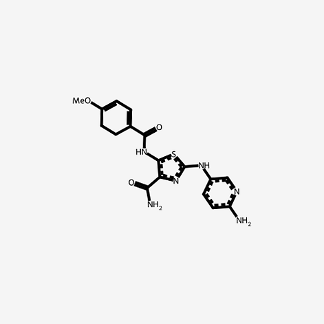 COC1=CC=C(C(=O)Nc2sc(Nc3ccc(N)nc3)nc2C(N)=O)CC1